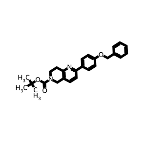 CC(C)(C)OC(=O)N1CCc2nc(-c3ccc(OCc4ccccc4)cc3)ccc2C1